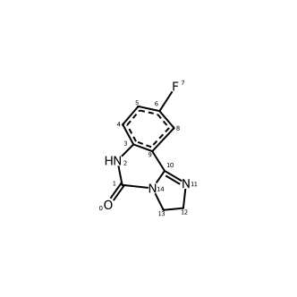 O=C1Nc2ccc(F)cc2C2=NCCN12